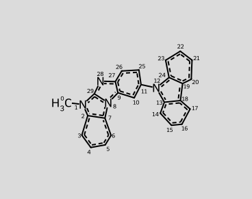 Cn1c2ccccc2n2c3cc(-n4c5ccccc5c5ccccc54)ccc3nc12